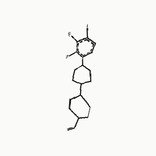 C=CC1CCC(C2CCC(c3ccc(I)c(F)c3F)CC2)CC1